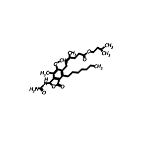 CCCCCCCc1c(CC=C(C)CCC(=O)OCCC(C)C)c(OC)c(C)c2c1C(=O)OC2NC(N)=O